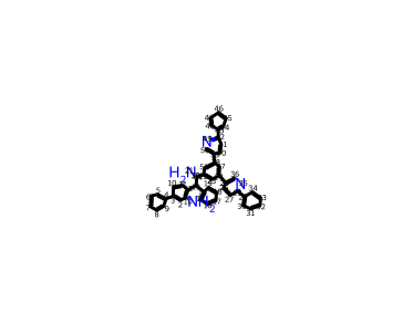 Nc1cc(-c2ccccc2)ccc1C(c1ccccc1)[C@@H](N)c1cc(-c2ccc(-c3ccccc3)nc2)cc(-c2ccc(-c3ccccc3)nc2)c1